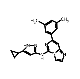 Cc1cc(C)cc(-c2cc3nccn3c(Nc3cc(C4CC4)[nH]n3)n2)c1